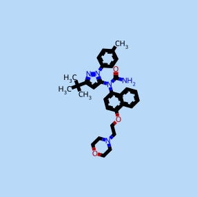 Cc1ccc(-n2nc(C(C)(C)C)cc2N(C(N)=O)c2ccc(OCCN3CCOCC3)c3ccccc23)cc1